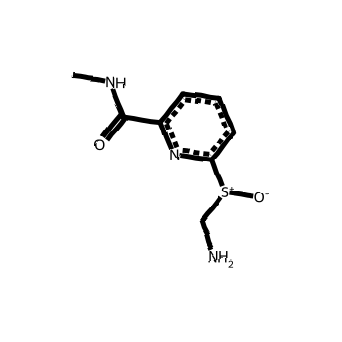 CNC(=O)c1cccc([S+]([O-])CN)n1